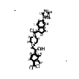 Cc1c([C@@H](O)CN2CCN(C(=O)C3CCc4cc(-n5cncn5)ccc43)CC2)ccc2c1COC2=O